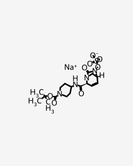 CC(C)(C)OC(=O)N1CCC(NC(=O)[C@@H]2C=C[C@@H]3CN2C(=O)N3OS(=O)(=O)[O-])CC1.[Na+]